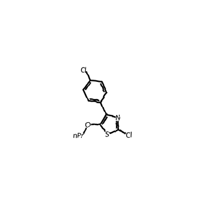 CCCOc1sc(Cl)nc1-c1ccc(Cl)cc1